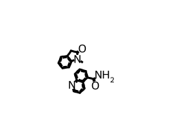 CN1C(=O)Cc2ccccc21.NC(=O)c1cccc2ncccc12